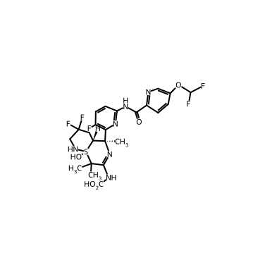 CC1(C)C(NC(=O)O)=N[C@](C)(c2nc(NC(=O)c3ccc(OC(F)F)cn3)ccc2F)[C@H]2CC(F)(F)CN[S@@]21O